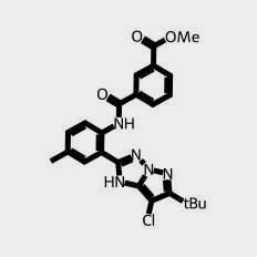 COC(=O)c1cccc(C(=O)Nc2ccc(C)cc2-c2nn3nc(C(C)(C)C)c(Cl)c3[nH]2)c1